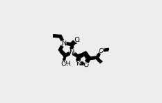 CCN1CC(O)N(c2cc(C(C)OC)on2)C1=O